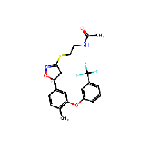 CC(=O)NCCSC1=NO[C@H](c2ccc(C)c(Oc3cccc(C(F)(F)F)c3)c2)C1